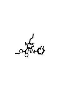 CCCc1nc(C(=O)OCC)c(Nc2cccnc2)s1